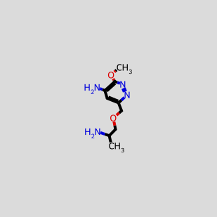 COc1nnc(COCC(C)N)cc1N